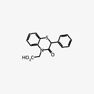 O=C(O)CN1C(=O)C(c2ccccc2)Sc2ccccc21